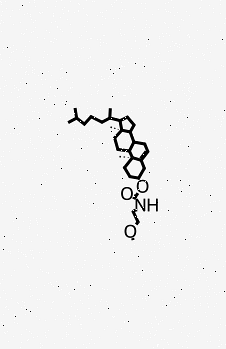 COCCNC(=O)O[C@@H]1CC[C@]2(C)C(=CCC3C4CCC(C(C)CCCC(C)C)[C@]4(C)CCC32)C1